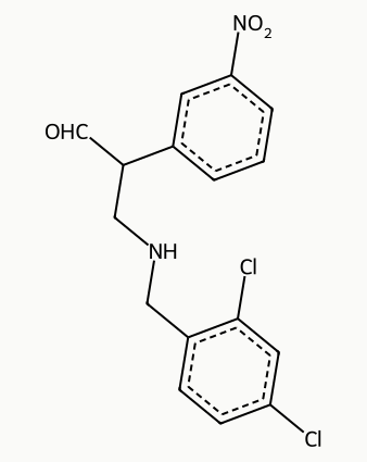 O=CC(CNCc1ccc(Cl)cc1Cl)c1cccc([N+](=O)[O-])c1